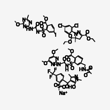 CCOC(=O)C1=NN(c2ccc(Cl)cc2Cl)C(C)(C(=O)OCC)C1.COC(=O)c1ccc(CNS(C)(=O)=O)cc1S(=O)(=O)NC(=O)Nc1nc(OC)cc(OC)n1.COC(=O)c1ccc(I)cc1S(=O)(=O)[N-]C(=O)Nc1nc(C)nc(OC)n1.Cc1nn(C)c(O)c1C(=O)c1ccc(C(F)(F)F)cc1S(C)(=O)=O.[Na+]